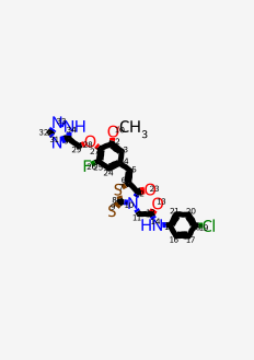 COc1cc(/C=C2\SC(=S)N(CC(=O)Nc3ccc(Cl)cc3)C2=O)cc(F)c1OCc1ncn[nH]1